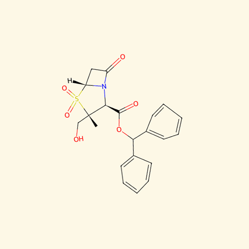 C[C@]1(CO)[C@H](C(=O)OC(c2ccccc2)c2ccccc2)N2C(=O)C[C@H]2S1(=O)=O